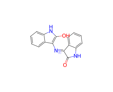 O=C1Nc2ccccc2/C1=N\c1c(O)[nH]c2ccccc12